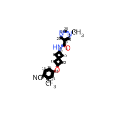 CN1C=C(C(=O)NC2CC3(C2)CC(Oc2ccc(C#N)c(C(F)(F)F)c2)C3)C=NC1